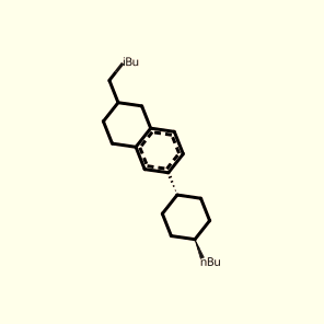 CCCC[C@H]1CC[C@H](c2ccc3c(c2)CCC(CC(C)CC)C3)CC1